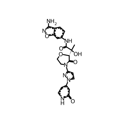 CC(O)(C(=O)Nc1ccc2c(N)noc2c1)[C@H]1OCCN(c2ccn(-c3cc[nH]c(=O)c3)n2)C1=O